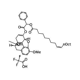 CCCCCCCC/C=C\CCCCCCCC(=O)OC(C(=O)OC1=CC[C@@]2(O)[C@H]3Cc4ccc(OC)c5c4[C@@]2(CCN3C)[C@H]1O5)c1ccccc1.O=C(O)C(F)(F)F